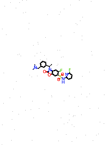 C[C@H](c1cccc(CN(C)C)c1)n1c(=O)oc2cc(S(=O)(=O)Nc3cccc(F)n3)c(F)cc21